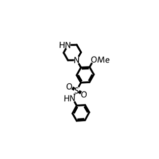 COc1ccc(S(=O)(=O)Nc2ccccc2)cc1N1CCNCC1